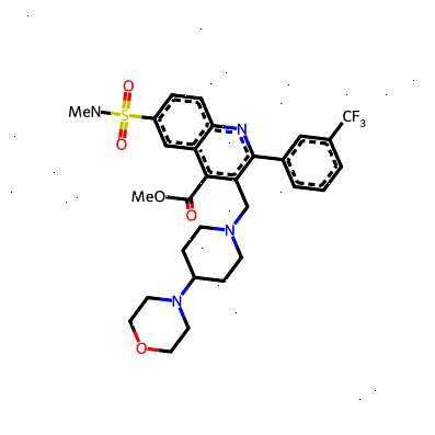 CNS(=O)(=O)c1ccc2nc(-c3cccc(C(F)(F)F)c3)c(CN3CCC(N4CCOCC4)CC3)c(C(=O)OC)c2c1